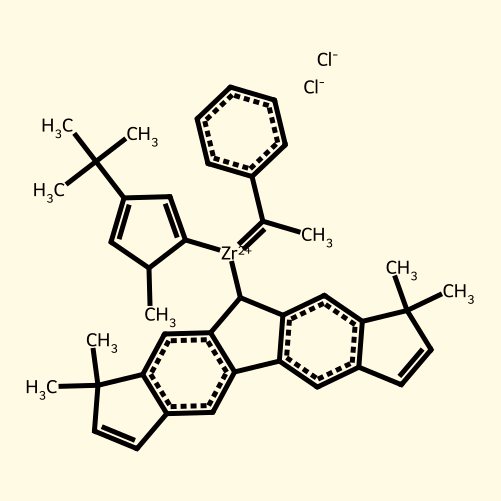 C/[C](c1ccccc1)=[Zr+2](/[C]1=CC(C(C)(C)C)=CC1C)[CH]1c2cc3c(cc2-c2cc4c(cc21)C(C)(C)C=C4)C=CC3(C)C.[Cl-].[Cl-]